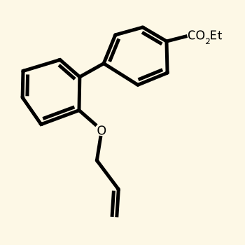 C=CCOc1ccccc1-c1ccc(C(=O)OCC)cc1